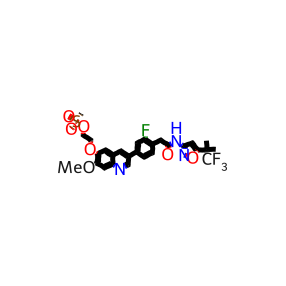 COc1cc2ncc(-c3ccc(CC(=O)Nc4cc(C(C)(C)C(F)(F)F)on4)c(F)c3)cc2cc1OCCOS(C)(=O)=O